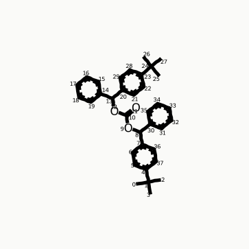 CC(C)(C)c1ccc(C(OC(=O)OC(c2ccccc2)c2ccc(C(C)(C)C)cc2)c2ccccc2)cc1